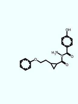 NN(C(=O)c1ccc(O)cc1)C(=O)C1CC1CCOc1ccccc1